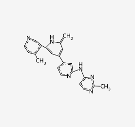 C=C1C=C(c2ccnc(Nc3ccnc(C)n3)c2)C=C(c2cnccc2C)N1